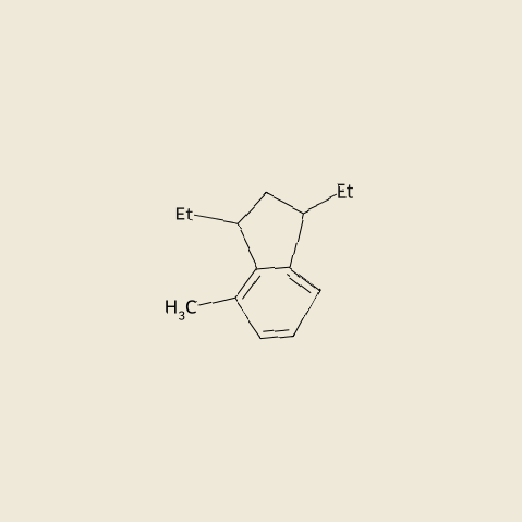 CCC1CC(CC)c2c(C)cccc21